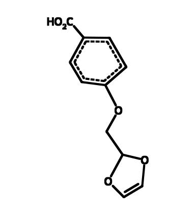 O=C(O)c1ccc(OCC2OC=CO2)cc1